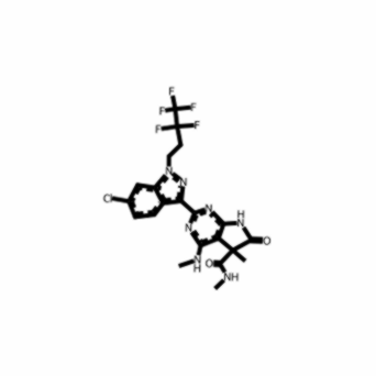 CNC(=O)C1(C)C(=O)Nc2nc(-c3nn(CCC(F)(F)C(F)(F)F)c4cc(Cl)ccc34)nc(NC)c21